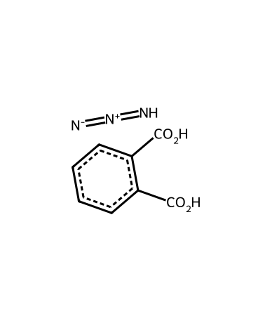 O=C(O)c1ccccc1C(=O)O.[N-]=[N+]=N